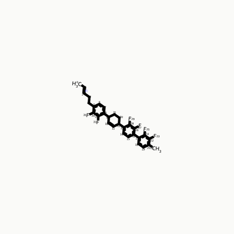 C/C=C/CCc1ccc(C2C=CC(c3ccc(-c4ccc(C)c(F)c4F)c(F)c3F)CC2)c(F)c1F